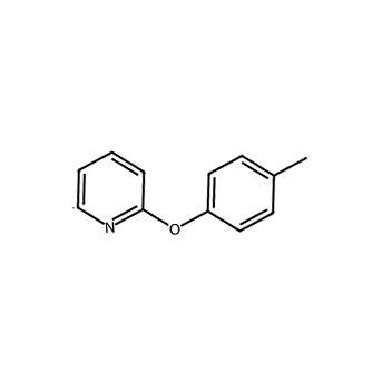 Cc1ccc(Oc2ccc[c]n2)cc1